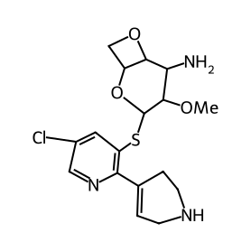 COC1C(Sc2cc(Cl)cnc2C2=CCNCC2)OC2COC2C1N